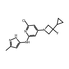 Cc1cc(Nc2cc(N3CC(F)(C4CC4)C3)cc(Cl)n2)[nH]n1